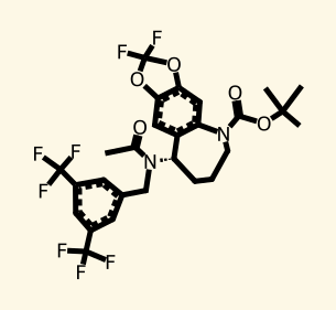 CC(=O)N(Cc1cc(C(F)(F)F)cc(C(F)(F)F)c1)[C@H]1CCCN(C(=O)OC(C)(C)C)c2cc3c(cc21)OC(F)(F)O3